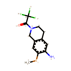 CSc1cc2c(cc1N)CCN(C(=O)C(F)(F)F)C2